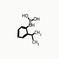 CC(C)c1ccccc1O.OBO